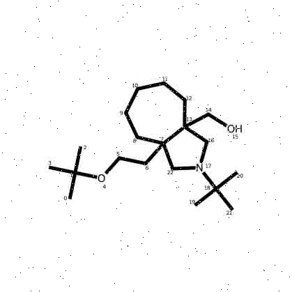 CC(C)(C)OCCC12CCCCCC1(CO)CN(C(C)(C)C)C2